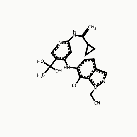 BC(O)(O)c1cnc(NC(=C)C2CC2)cc1Nc1ccc2cnn(CC#N)c2c1CC